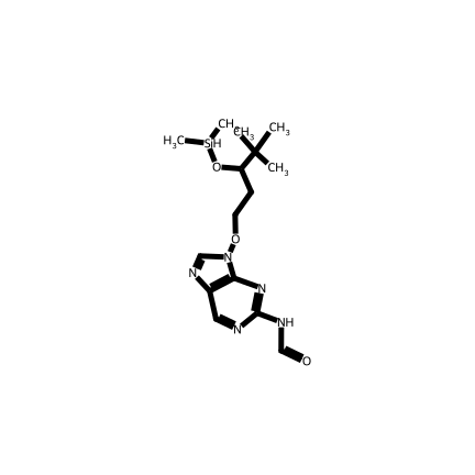 C[SiH](C)OC(CCOn1cnc2cnc(NC=O)nc21)C(C)(C)C